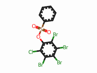 O=S(=O)(Oc1c(Cl)c(Br)c(Br)c(Br)c1Br)c1ccccc1